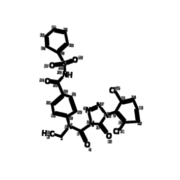 CCN(C(=O)n1nnn(-c2c(Cl)cccc2Cl)c1=O)c1ccc(C(=O)NS(=O)(=O)c2ccccc2)cc1